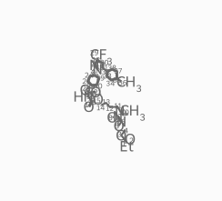 CCC(=O)OCON=[N+]([O-])N(C)CCCCOC(=O)NS(=O)(=O)c1ccc(-n2nc(C(F)(F)F)cc2-c2ccc(C)cc2)cc1